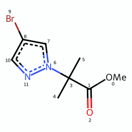 COC(=O)C(C)(C)n1cc(Br)cn1